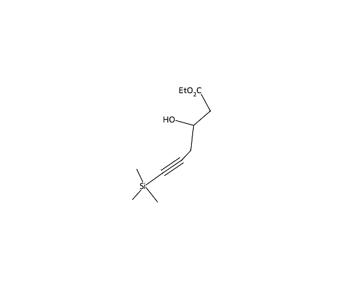 CCOC(=O)CC(O)CC#C[Si](C)(C)C